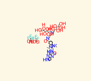 CCn1c(CNC(=O)c2nc3cc[nH]c3nc2N)[n+](CC)c2ccc(C(=O)N(C)CCCN(C[C@H](O)[C@@H](O)[C@H](O)[C@H](O)CO)C[C@H](O)[C@@H](O)[C@H](O)[C@H](O)CO)cc21.O=C(O)C(F)(F)F.O=C([O-])C(F)(F)F